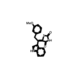 COc1cccc(CC(=C2SC(=O)NC2=O)c2c[nH]c3ccccc23)c1